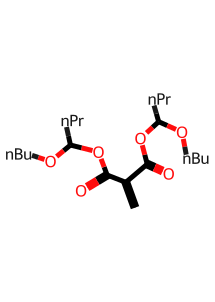 C=C(C(=O)OC(CCC)OCCCC)C(=O)OC(CCC)OCCCC